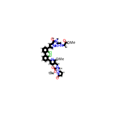 COC(=O)[C@@H](C)NCc1nn2cc(-c3cccc(-c4cccc(-c5ccc(CN(C[C@@H]6CCC(=O)N6)C(=O)OC(C)(C)C)c(OC)n5)c4Cl)c3Cl)cc2c(=O)n1C